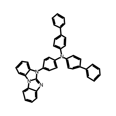 c1ccc(-c2ccc(N(c3ccc(-c4ccccc4)cc3)c3ccc(-n4c5ccccc5n5c6ccccc6nc45)cc3)cc2)cc1